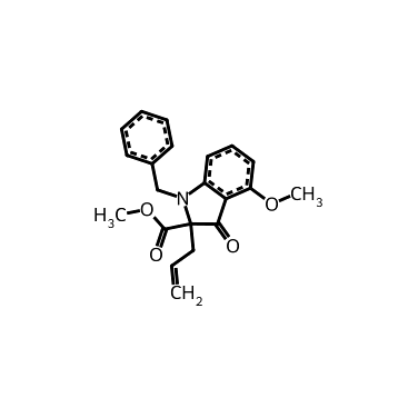 C=CCC1(C(=O)OC)C(=O)c2c(OC)cccc2N1Cc1ccccc1